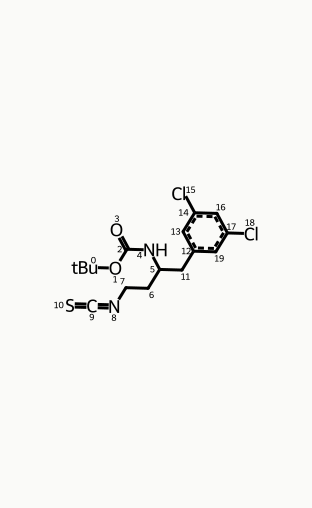 CC(C)(C)OC(=O)NC(CCN=C=S)Cc1cc(Cl)cc(Cl)c1